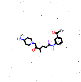 CC(C)NC1CCN(CC(=O)C(C)CCC(I)Nc2cccc(C(=O)C(C)C)c2)CC1